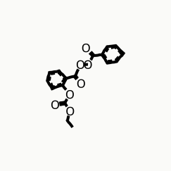 CCOC(=O)Oc1ccccc1C(=O)OOC(=O)c1ccccc1